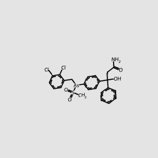 CS(=O)(=O)[As](Cc1cccc(Cl)c1Cl)c1ccc(C(O)(CC(N)=O)c2ccccc2)cc1